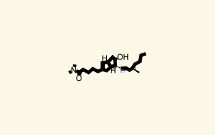 CCCC[C@@H](C)C/C=C/[C@@H]1[C@H]2CC(CCCCC(=O)N(C)C)=C[C@H]2C[C@H]1O